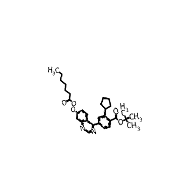 CCCCCCC(=O)OOc1ccc2c(-c3ccc(C(=O)OC(C)(C)C)c(C4CCCC4)c3)ncnc2c1